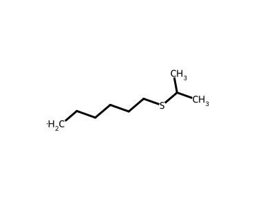 [CH2]CCCCCSC(C)C